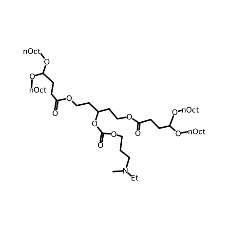 CCCCCCCCOC(CCC(=O)OCCC(CCOC(=O)CCC(OCCCCCCCC)OCCCCCCCC)OC(=O)OCCCN(C)CC)OCCCCCCCC